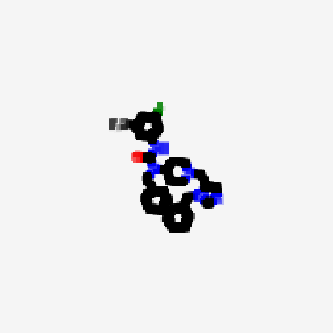 O=C(Nc1cc(F)cc(C(F)(F)F)c1)N(Cc1ccccc1)C1CCN(Cc2cncn2Cc2ccccc2)CC1